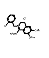 CCCCCC1=[N+](Cc2ccccc2Cl)CCc2cc(OC)c(OC)cc21.[Cl-]